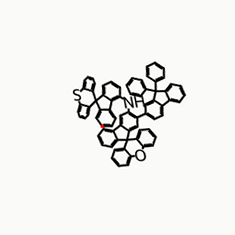 c1ccc(C2(c3ccccc3)c3ccccc3-c3ccc(-c4cc5c(cc4Nc4cccc6c4-c4ccccc4C64c6ccccc6Sc6ccccc64)-c4ccccc4C54c5ccccc5Oc5ccccc54)cc32)cc1